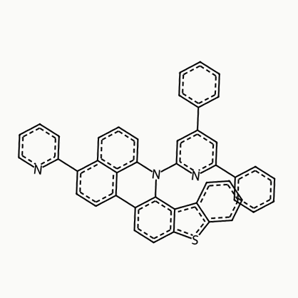 c1ccc(-c2cc(-c3ccccc3)nc(N3c4cccc5c(-c6ccccn6)ccc(c45)-c4ccc5sc6ccccc6c5c43)c2)cc1